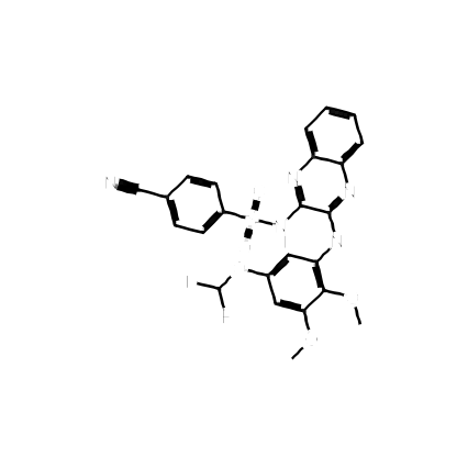 COc1cc(OC(F)F)cc(Nc2nc3ccccc3nc2NS(=O)(=O)c2ccc(C#N)cc2)c1OC